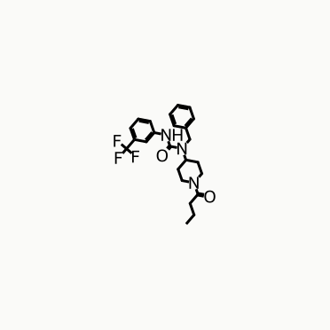 CCCC(=O)N1CCC(N(Cc2ccccc2)C(=O)Nc2cccc(C(F)(F)F)c2)CC1